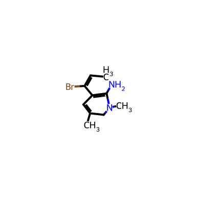 C/C=C(/Br)C1=C(N)N(C)CC(C)=C1